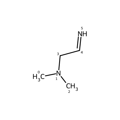 CN(C)CC=N